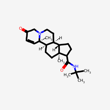 CC(C)(C)NC(=O)C1CC[C@H]2[C@@H]3CCN4CC(=O)C=C[C@]4(C)[C@@H]3CC[C@]12C